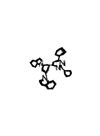 c1ccc(-c2cc(-c3cc(-n4ccc5ccccc54)cc(-n4ccc5ccccc54)c3)nc(-c3ccccc3)n2)cc1